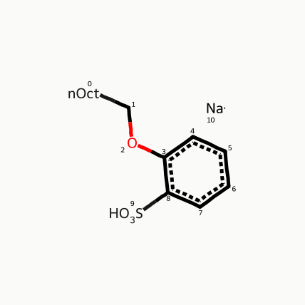 CCCCCCCCCOc1ccccc1S(=O)(=O)O.[Na]